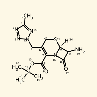 Cc1nnn(CC2=C(C(=O)O[Si](C)(C)C)N3C(=O)C(N)[C@@H]3SC2)n1